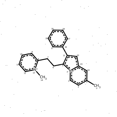 Cc1ccn2c(CCc3cccc[n+]3C)c(-c3ccccc3)cc2c1